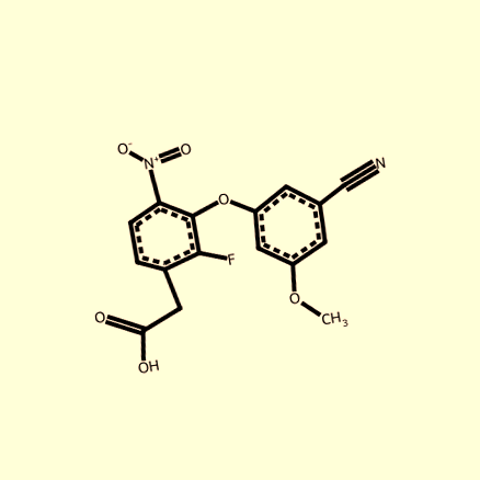 COc1cc(C#N)cc(Oc2c([N+](=O)[O-])ccc(CC(=O)O)c2F)c1